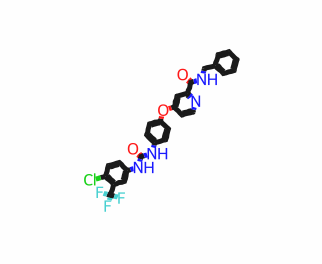 O=C(Nc1ccc(Oc2ccnc(C(=O)NCc3ccccc3)c2)cc1)Nc1ccc(Cl)c(C(F)(F)F)c1